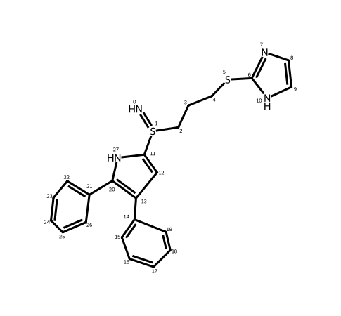 N=S(CCCSc1ncc[nH]1)c1cc(-c2ccccc2)c(-c2ccccc2)[nH]1